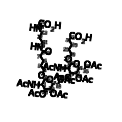 CC(=O)N[C@H]1[C@H](OCCCCC(=O)NCCCNC(=O)O)O[C@H](COC(C)=O)[C@H](OC(C)=O)[C@@H]1OC(C)=O.CC(=O)N[C@H]1[C@H](OCCCCC(=O)O)O[C@H](COC(C)=O)[C@H](OC(C)=O)[C@@H]1OC(C)=O